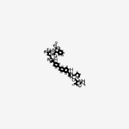 COC(=O)NC(C(=O)N1CCC[C@H]1c1ncc(-c2ccc3cc(-c4ccc(-c5cnc([C@@H]6CC(F)(F)CN6C(=O)[C@H](NC(=O)OC)c6ccccc6)[nH]5)cc4)ccc3c2)[nH]1)C(C)C